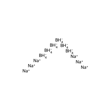 [BH4-].[BH4-].[BH4-].[BH4-].[BH4-].[BH4-].[Na+].[Na+].[Na+].[Na+].[Na+].[Na+]